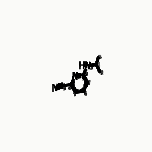 CC(C)Nc1cccc(C#N)n1